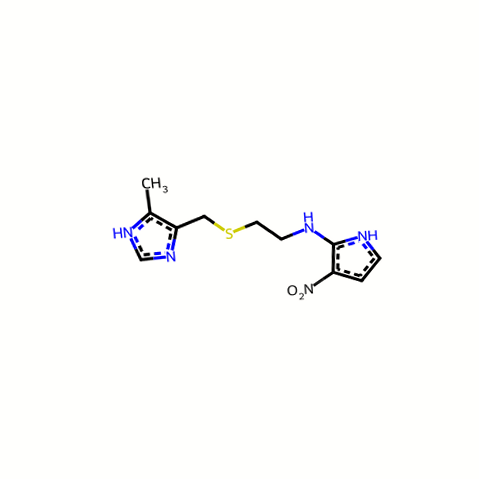 Cc1[nH]cnc1CSCCNc1[nH]ccc1[N+](=O)[O-]